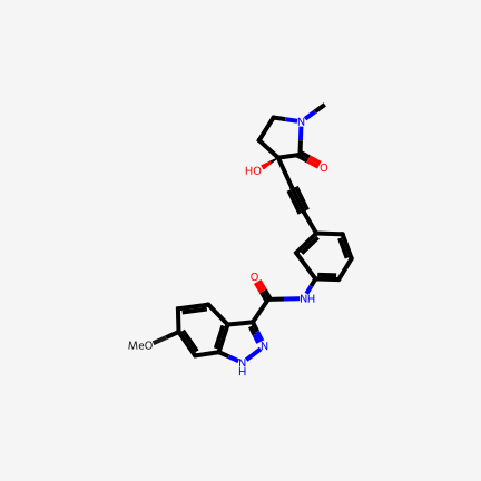 COc1ccc2c(C(=O)Nc3cccc(C#C[C@]4(O)CCN(C)C4=O)c3)n[nH]c2c1